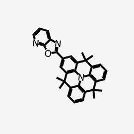 CC1(C)c2cccc3c2N2c4c1cccc4C(C)(C)c1cc(-c4nc5cccnc5o4)cc(c12)C3(C)C